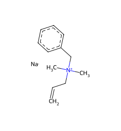 C=CC[N+](C)(C)Cc1ccccc1.[Na]